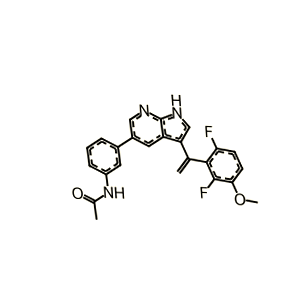 C=C(c1c(F)ccc(OC)c1F)c1c[nH]c2ncc(-c3cccc(NC(C)=O)c3)cc12